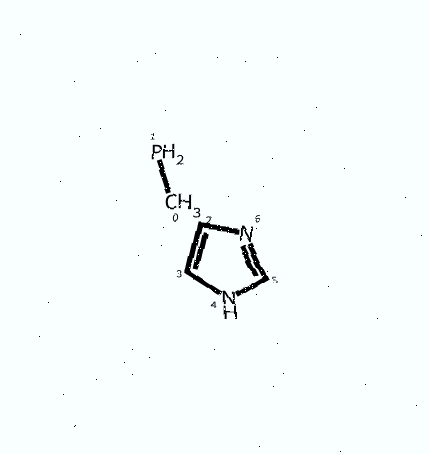 CP.c1c[nH]cn1